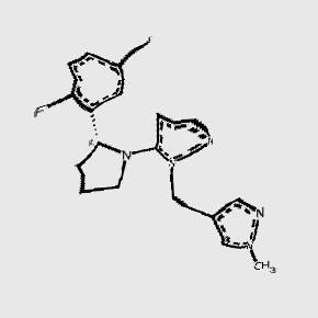 Cn1cc(Cn2nccc2N2CCC[C@@H]2c2cc(F)ccc2F)cn1